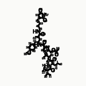 CC[C@H](C)[C@H](NC(=O)[C@@H](C(C)C)N(C)C)C(=O)N(C)[C@H](C[C@@H](OC(C)=O)c1nc(C(=O)N[C@@H](Cc2ccc(OC)cc2)CC(C)C(=O)NCCCSC2CC(=O)N(C)C2=O)cs1)C(C)C